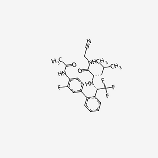 CC(=O)Nc1ccc(-c2ccccc2[C@H](N[C@@H](CC(C)C)C(=O)NCC#N)C(F)(F)F)cc1F